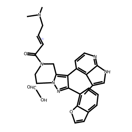 Cc1c[nH]c2nccc(-c3c(-c4cccc5ccoc45)nn4c3CN(C(=O)/C=C/CN(C)C)CC4)c12.O=CO